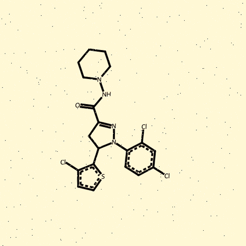 O=C(NN1CCCCC1)C1=NN(c2ccc(Cl)cc2Cl)C(c2sccc2Cl)C1